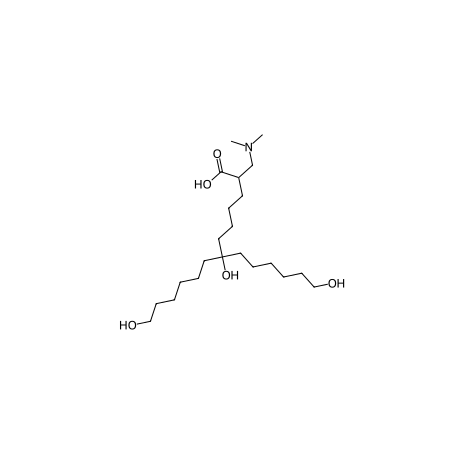 CN(C)CC(CCCCC(O)(CCCCCCO)CCCCCCO)C(=O)O